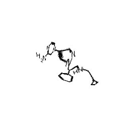 NC1=NC=CN(c2cnn(C(CNCC3CC3)c3ccccc3)c2)C1